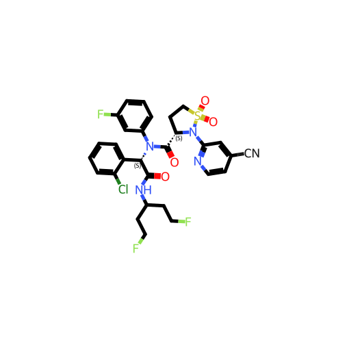 N#Cc1ccnc(N2[C@H](C(=O)N(c3cccc(F)c3)[C@H](C(=O)NC(CCF)CCF)c3ccccc3Cl)CCS2(=O)=O)c1